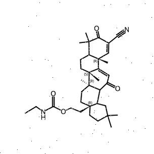 CCNC(=O)OCC[C@]12CCC(C)(C)CC1C1C(=O)C=C3[C@@]4(C)C=C(C#N)C(=O)C(C)(C)C4CC[C@@]3(C)[C@]1(C)CC2